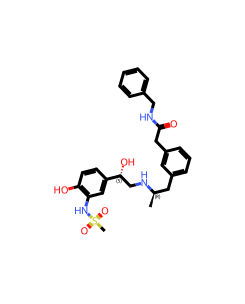 C[C@H](Cc1cccc(CC(=O)NCc2ccccc2)c1)NC[C@@H](O)c1ccc(O)c(NS(C)(=O)=O)c1